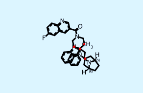 Cc1nc2ccccc2n1C1C[C@H]2CC[C@@H](C1)N2CCC1(c2ccccc2)CCN(C(=O)c2cnc3ccc(F)cc3c2)CC1